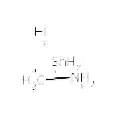 CN.I.[SnH2]